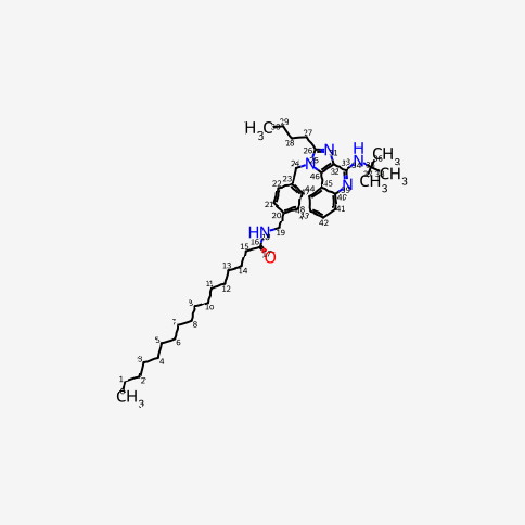 CCCCCCCCCCCCCCCCC(=O)NCc1ccc(Cn2c(CCCC)nc3c(NC(C)(C)C)nc4ccccc4c32)cc1